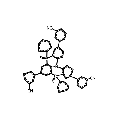 N#Cc1cccc(-c2ccc3c(c2)P(=S)(c2ccccc2)c2cc(-c4cccc(C#N)c4)cc4c2N3c2ccc(-c3cccc(C#N)c3)cc2P4(=S)c2ccccc2)c1